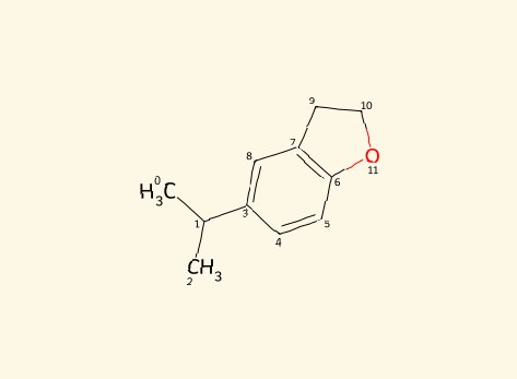 CC(C)c1ccc2c(c1)CCO2